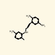 Cc1ccc(N)cc1NC/C=C/c1cc(N)ccc1N